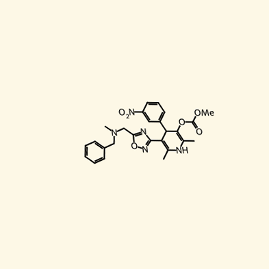 COC(=O)OC1=C(C)NC(C)=C(c2noc(CN(C)Cc3ccccc3)n2)C1c1cccc([N+](=O)[O-])c1